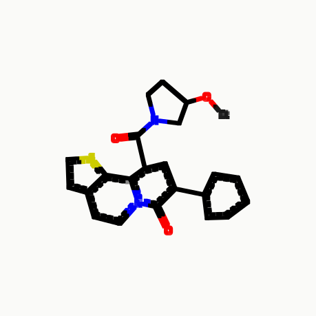 CCOC1CCN(C(=O)c2cc(-c3ccccc3)c(=O)n3ccc4ccsc4c23)C1